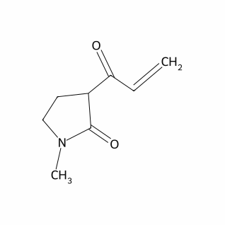 C=CC(=O)C1CCN(C)C1=O